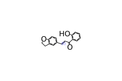 O=C(/C=C/c1ccc2c(c1)CCO2)c1ccccc1O